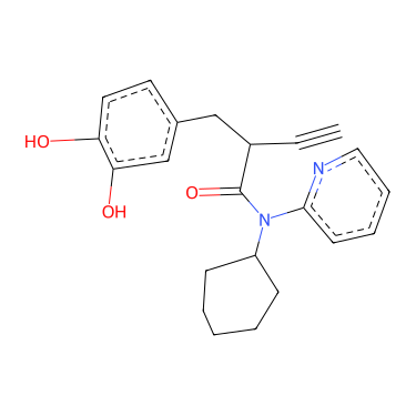 C#CC(Cc1ccc(O)c(O)c1)C(=O)N(c1ccccn1)C1CCCCC1